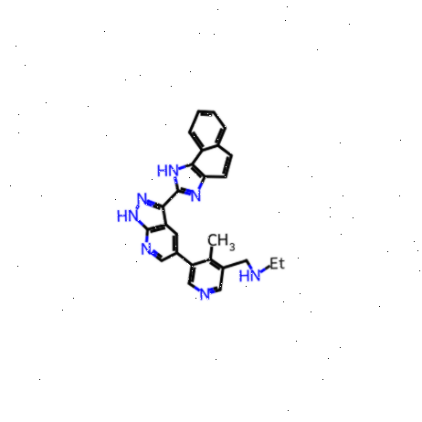 CCNCc1cncc(-c2cnc3[nH]nc(-c4nc5ccc6ccccc6c5[nH]4)c3c2)c1C